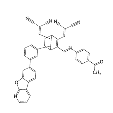 CC(=O)c1ccc(/N=C/C2=C(C=C(C#N)C#N)C3CCC2C(c2cccc(-c4ccc5c(c4)oc4ncccc45)c2)C3C=C(C#N)C#N)cc1